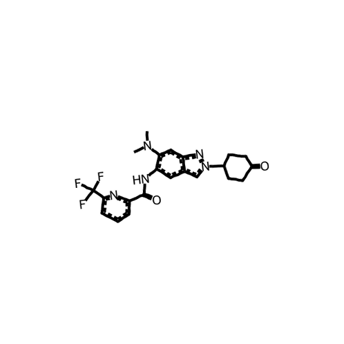 CN(C)c1cc2nn(C3CCC(=O)CC3)cc2cc1NC(=O)c1cccc(C(F)(F)F)n1